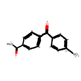 COC(=O)c1ccc(C(=O)c2ccc([N+](=O)[O-])cc2)cc1